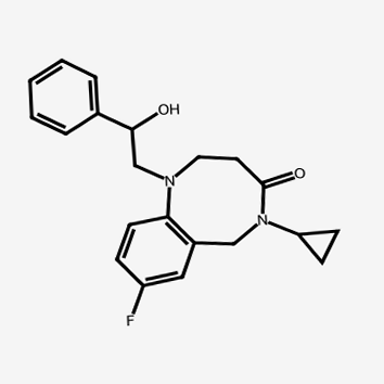 O=C1CCN(CC(O)c2ccccc2)c2ccc(F)cc2CN1C1CC1